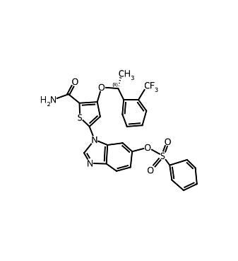 C[C@@H](Oc1cc(-n2cnc3ccc(OS(=O)(=O)c4ccccc4)cc32)sc1C(N)=O)c1ccccc1C(F)(F)F